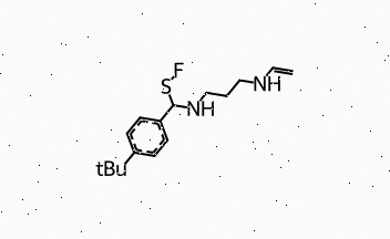 C=CNCCCNC(SF)c1ccc(C(C)(C)C)cc1